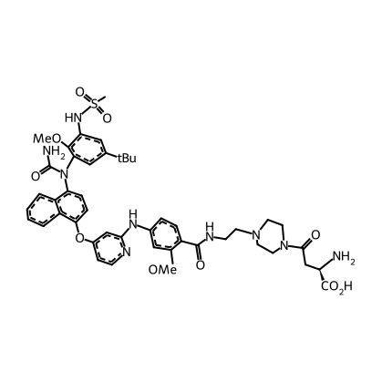 COc1cc(Nc2cc(Oc3ccc(N(C(N)=O)c4cc(C(C)(C)C)cc(NS(C)(=O)=O)c4OC)c4ccccc34)ccn2)ccc1C(=O)NCCN1CCN(C(=O)C[C@@H](N)C(=O)O)CC1